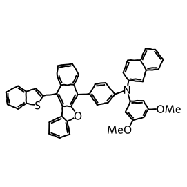 COc1cc(OC)cc(N(c2ccc(-c3c4ccccc4c(-c4cc5ccccc5s4)c4c3oc3ccccc34)cc2)c2ccc3ccccc3c2)c1